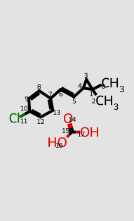 CC1(C)CC1C=Cc1ccc(Cl)cc1.O=C(O)O